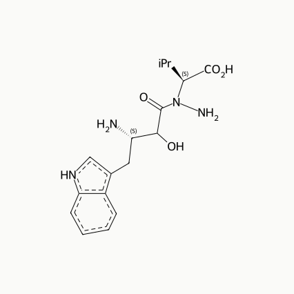 CC(C)[C@@H](C(=O)O)N(N)C(=O)C(O)[C@@H](N)Cc1c[nH]c2ccccc12